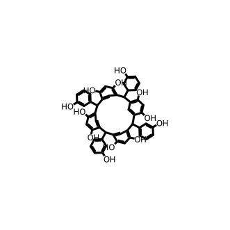 OC1=CC=CC(C2c3cc(c(O)cc3O)C(c3cccc(O)c3)c3cc(c(O)cc3O)C(c3cccc(O)c3)c3cc(c(O)cc3O)C(c3cccc(O)c3)c3cc2c(O)cc3O)C1